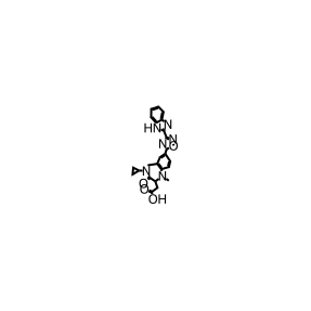 CN1c2ccc(-c3nc(-c4nc5ccccc5[nH]4)no3)cc2CN(C2CC2)C(=O)C1CC(=O)O